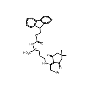 CC(C)CC(NCCC[C@H](NC(=O)OCC1c2ccccc2-c2ccccc21)C(=O)O)=C1C(=O)CC(C)(C)CC1=O